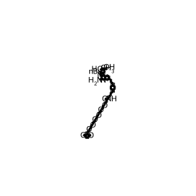 CCCCc1nc2c(N)nc3cc(CCCN4CCN(CCCCNC(=O)CCOCCOCCOCCOCCOCCOCCN5C(=O)C=CC5=O)CC4)ccc3c2n1CC(C)(CO)CO